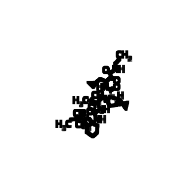 C=CCNC(=O)C(=O)C(CC1CC1)NC(=O)[C@@H]1[C@@H]2C(CN1C(=O)[C@@H](NC(=O)NC1(CS(=O)(=O)C(C)(C)CC)CCCCC1)C(C)(C)C)C21CC1